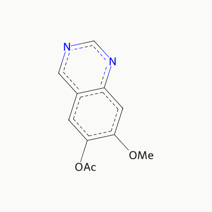 COc1cc2ncncc2cc1OC(C)=O